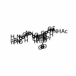 CCCN(CCC)C(=O)C1=Cc2ccc(C(=O)Nc3cnc4c(c3)CN(Cc3ccc(C)c(NC(=O)NCCC[C@H](NC(=O)[C@@H](NC(=O)CCCCCN5C(=O)C=CC5=O)C(C)C)C(=O)Nc5ccc(COC(=O)NCC(F)(F)CNC(C)=O)cc5)c3)CC4)cc2N=C(N)C1